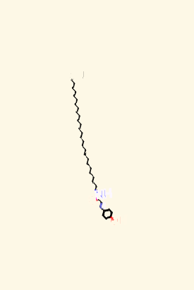 CCCCCCCCCCCCCCCCCCCCCCCCCCCCNC(=O)/C=C/c1ccc(O)cc1